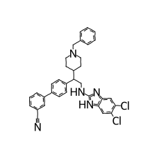 N#Cc1cccc(-c2ccc(C(CNc3nc4cc(Cl)c(Cl)cc4[nH]3)C3CCN(Cc4ccccc4)CC3)cc2)c1